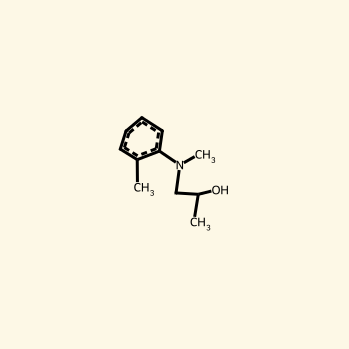 Cc1ccccc1N(C)CC(C)O